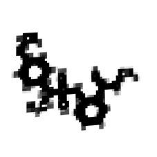 COC(=O)c1ccccc1CS(=O)(=O)N(C)c1ccc(OC)cc1